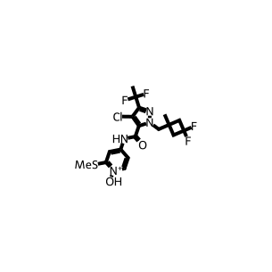 CSc1cc(NC(=O)c2c(Cl)c(C(C)(F)F)nn2CC2(C)CC(F)(F)C2)cc[n+]1O